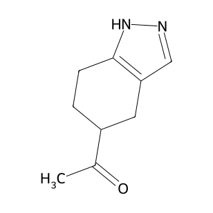 CC(=O)C1CCc2[nH]ncc2C1